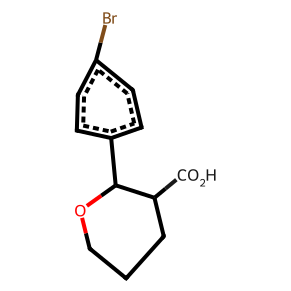 O=C(O)C1CCCOC1c1ccc(Br)cc1